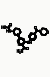 NC(=O)c1ncc(N2CCC[C@@H](NC(=O)O)C2)cc1Nc1ccc(C(=O)N2CCOCC2)cc1